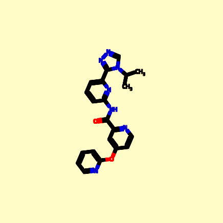 CC(C)n1cnnc1-c1cccc(NC(=O)c2cc(Oc3ccccn3)ccn2)n1